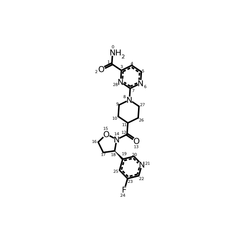 NC(=O)c1ccnc(N2CCC(C(=O)N3OCC[C@@H]3c3cncc(F)c3)CC2)n1